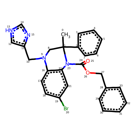 CC1(c2ccccc2)CN(Cc2c[nH]cn2)c2ccc(Br)cc2N1C(=O)OCc1ccccc1